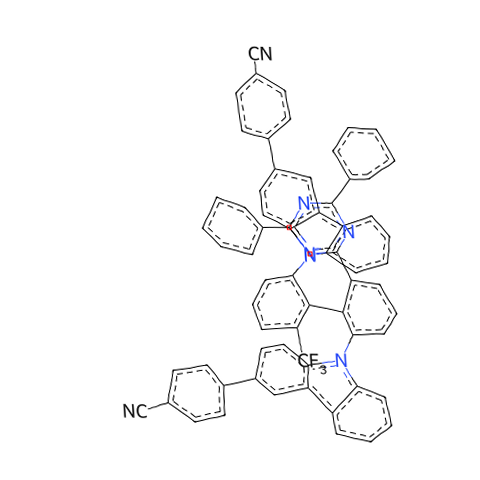 N#Cc1ccc(-c2ccc3c(c2)c2ccccc2n3-c2cccc(-c3nc(-c4ccccc4)nc(-c4ccccc4)n3)c2-c2c(-n3c4ccccc4c4cc(-c5ccc(C#N)cc5)ccc43)cccc2C(F)(F)F)cc1